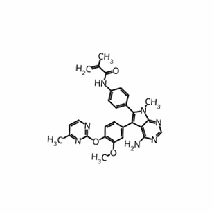 C=C(C)C(=O)Nc1ccc(-c2c(-c3ccc(Oc4nccc(C)n4)c(OC)c3)c3c(N)ncnc3n2C)cc1